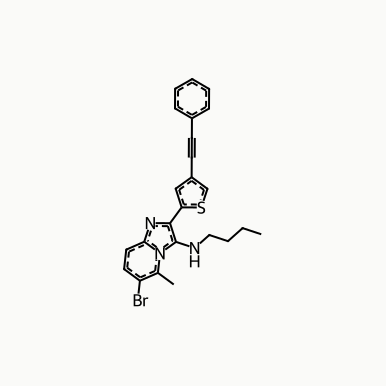 CCCCNc1c(-c2cc(C#Cc3ccccc3)cs2)nc2ccc(Br)c(C)n12